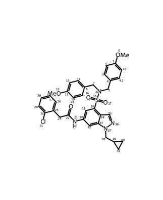 COc1ccc(CN(Cc2ccc(OC)cc2)S(=O)(=O)c2cc(NC(=O)Cc3ccccc3Cl)cc3c2cnn3CC2CC2)cc1